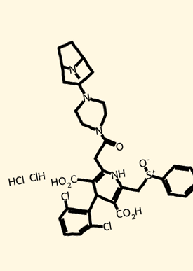 CN1C2CCC1CC(N1CCN(C(=O)CC3=C(C(=O)O)C(c4c(Cl)cccc4Cl)C(C(=O)O)=C(C[S+]([O-])c4ccccc4)N3)CC1)C2.Cl.Cl